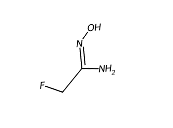 NC(CF)=NO